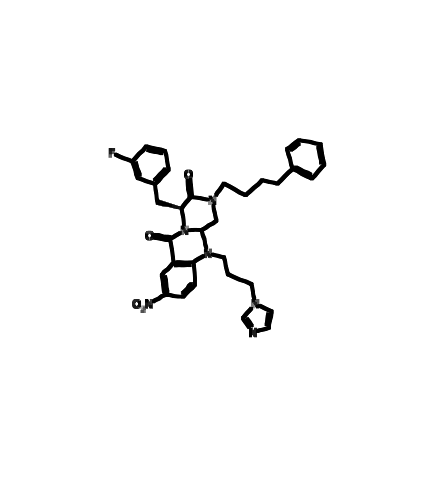 O=C1[C@H](Cc2cccc(F)c2)N2C(=O)c3cc([N+](=O)[O-])ccc3N(CCCn3ccnc3)C2CN1CCCCc1ccccc1